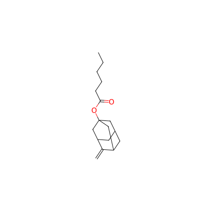 C=C1C2CC3CC1CC(OC(=O)CCCCC)(C3)C2